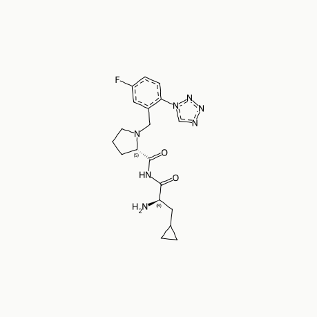 N[C@H](CC1CC1)C(=O)NC(=O)[C@@H]1CCCN1Cc1cc(F)ccc1-n1cnnn1